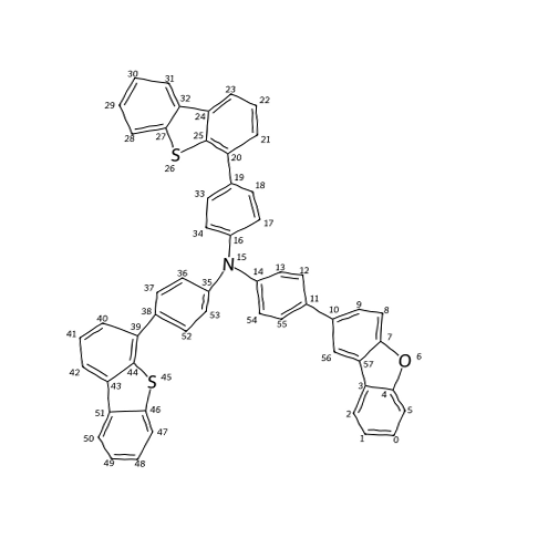 c1ccc2c(c1)oc1ccc(-c3ccc(N(c4ccc(-c5cccc6c5sc5ccccc56)cc4)c4ccc(-c5cccc6c5sc5ccccc56)cc4)cc3)cc12